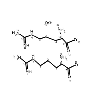 N=C(N)NCCC[C@H](N)C(=O)[O-].N=C(N)NCCC[C@H](N)C(=O)[O-].[Zn+2]